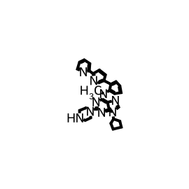 CN(c1ccccc1-c1ccc(-c2ccccn2)nc1)c1nc(N2CCNCC2)nc2c1ncn2C1CCCC1